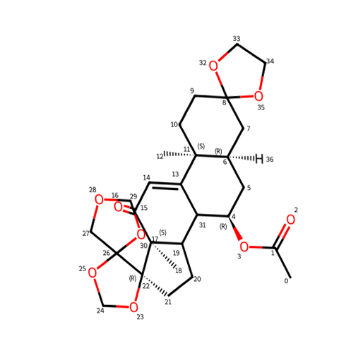 CC(=O)O[C@@H]1C[C@@H]2CC3(CC[C@]2(C)C2=CC(=O)[C@@]4(C)C(CC[C@@]45OCOC54COCO4)C21)OCCO3